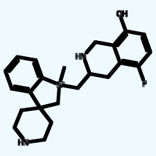 C[N+]1(CC2Cc3c(F)ccc(O)c3CN2)CC2(CCNCC2)c2ccccc21